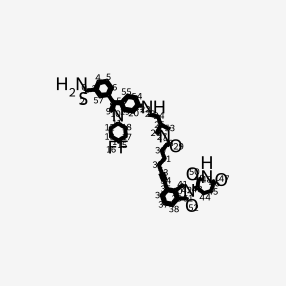 NC(=S)c1cccc(-c2cn(C3CCC(F)(F)CC3)c3cc(NCCC4CN(C(=O)CCCC#Cc5cccc6c5CN(C5CCC(=O)NC5=O)C6=O)C4)ccc23)c1